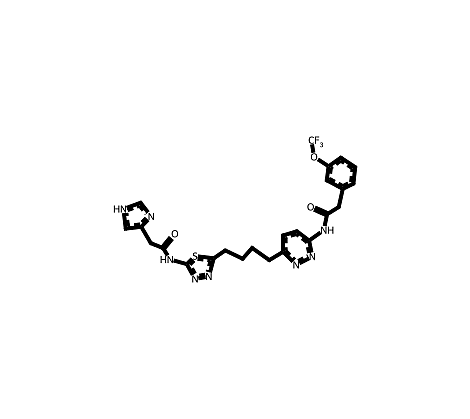 O=C(Cc1cccc(OC(F)(F)F)c1)Nc1ccc(CCCCc2nnc(NC(=O)Cc3c[nH]cn3)s2)nn1